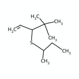 C=CC(SC(C)CC)C(C)(C)C